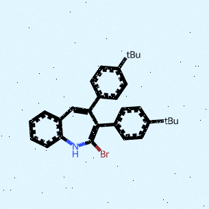 CC(C)(C)c1ccc(C2=Cc3ccccc3NC(Br)=C2c2ccc(C(C)(C)C)cc2)cc1